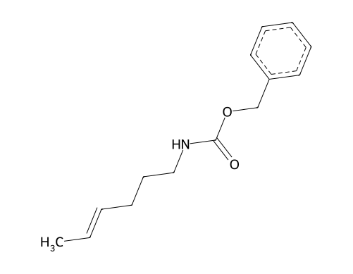 CC=CCCCNC(=O)OCc1ccccc1